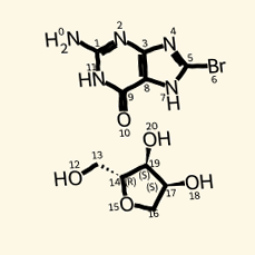 Nc1nc2nc(Br)[nH]c2c(=O)[nH]1.OC[C@H]1OC[C@H](O)[C@@H]1O